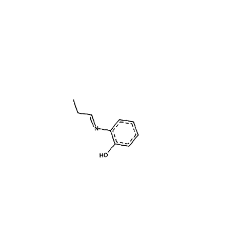 CCC=Nc1ccccc1O